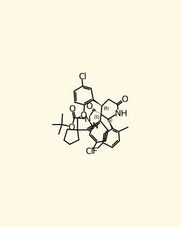 Cc1ccc(F)cc1[C@@H]1NC(=O)C[C@H](c2cc(Cl)ccc2OCC2(C#N)CCCC2)[C@@]12C(=O)N(C(=O)OC(C)(C)C)c1cc(Cl)ccc12